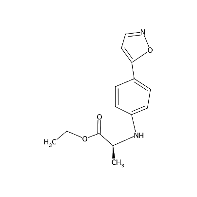 CCOC(=O)[C@H](C)Nc1ccc(-c2ccno2)cc1